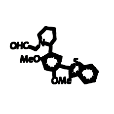 COc1cc(OC)c(C2CCCCN2CC=O)cc1-c1cc2ccccc2s1